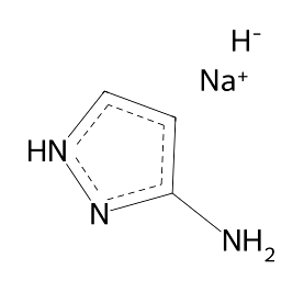 Nc1cc[nH]n1.[H-].[Na+]